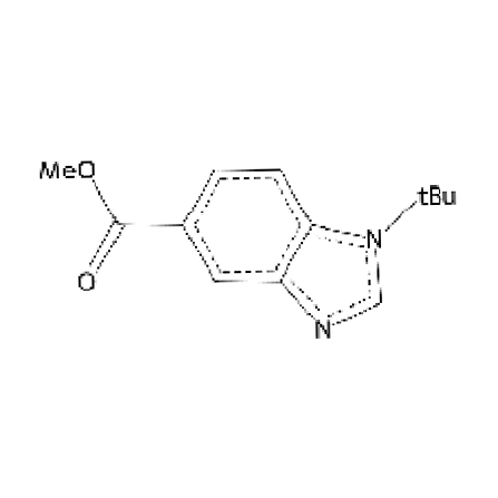 COC(=O)c1ccc2c(c1)ncn2C(C)(C)C